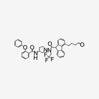 O=CCCCc1cccc2c1-c1ccccc1C2C(=O)N(CC(F)(F)F)N1CCC(NC(=O)c2ccccc2Oc2ccccc2)C1